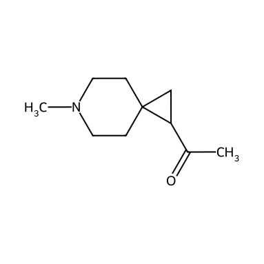 CC(=O)C1CC12CCN(C)CC2